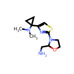 CN(C)C1(c2csc(N3CCOC3CN)n2)CC1